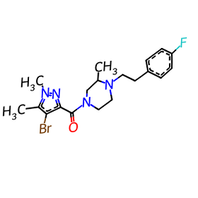 Cc1c(Br)c(C(=O)N2CCN(CCc3ccc(F)cc3)C(C)C2)nn1C